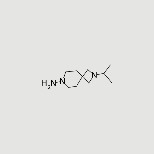 CC(C)N1CC2(CCN(N)CC2)C1